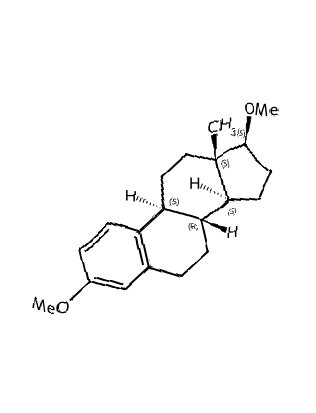 COc1ccc2c(c1)CC[C@@H]1[C@@H]2CC[C@]2(C)[C@@H](OC)CC[C@@H]12